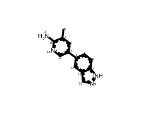 Cc1cc(-c2ccc3[nH]ncc3c2)cnc1N